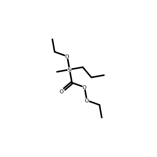 CCC[Si](C)(OCC)C(=O)OOCC